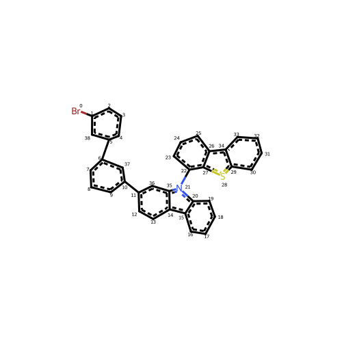 Brc1cccc(-c2cccc(-c3ccc4c5ccccc5n(-c5cccc6c5sc5ccccc56)c4c3)c2)c1